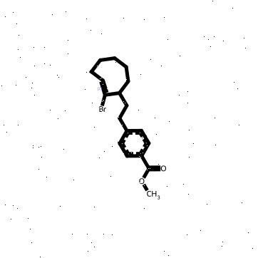 COC(=O)c1ccc(CCC2CCCCC/C=C/2Br)cc1